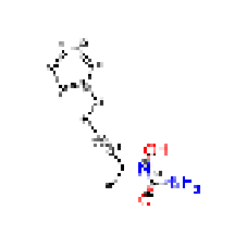 CC(C#CCCc1ccccc1)N(O)C(N)=O